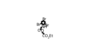 CCOC(=O)CCOC(=O)CNc1c(Br)cc(Br)cc1Br